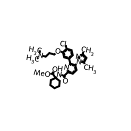 COC(=O)C1(NC(=O)c2ccc(-n3nc(C)cc3C)c(-c3ccc(Cl)c(OCCCN(C)C)c3)n2)CCCCC1